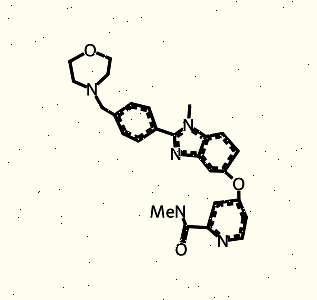 CNC(=O)c1cc(Oc2ccc3c(c2)nc(-c2ccc(CN4CCOCC4)cc2)n3C)ccn1